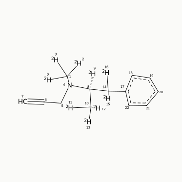 [2H]C([2H])([2H])N(CC#C)[C@]([2H])(C([2H])([2H])[2H])C([2H])([2H])c1ccccc1